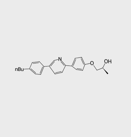 CCCCc1ccc(-c2ccc(-c3ccc(OC[C@H](C)O)cc3)nc2)cc1